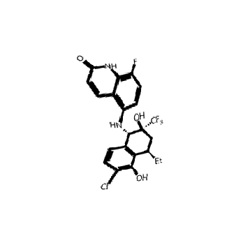 CC[C@@H]1C[C@@](O)(C(F)(F)F)[C@@H](Nc2ccc(F)c3[nH]c(=O)ccc23)c2ccc(Cl)c(O)c21